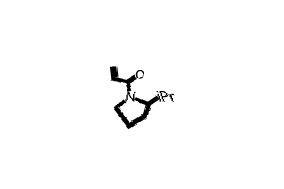 C=CC(=O)N1CCCC1C(C)C